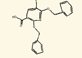 O=C(O)c1cc(F)c(OCc2ccccc2)nc1OCc1ccccc1